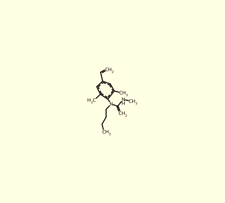 C=Cc1cc(C)c(N(CCCC)C(=C)NC)c(C)c1